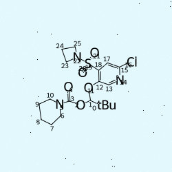 CC(C)(C)C(OC(=O)N1CCCCC1)Oc1cnc(Cl)cc1S(=O)(=O)N1CCC1